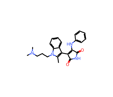 Cc1c(C2=C(Nc3ccccc3)C(=O)NC2=O)c2ccccc2n1CCCN(C)C